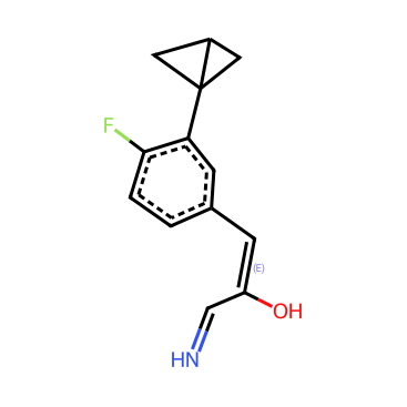 N=C/C(O)=C\c1ccc(F)c(C23CC2C3)c1